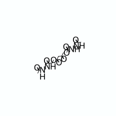 CC(=O)NCNC(=O)COC(=O)CC(=O)COC(=O)NCNC(C)=O